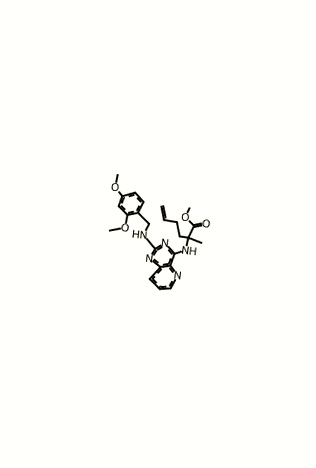 C=CCCC(C)(Nc1nc(NCc2ccc(OC)cc2OC)nc2cccnc12)C(=O)OC